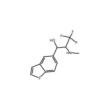 CNC(C(O)c1ccc2sccc2c1)C(F)(F)F